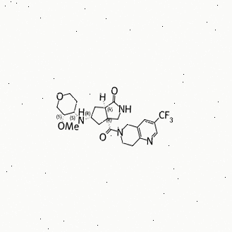 CO[C@@H]1COCC[C@@H]1N[C@@H]1C[C@H]2C(=O)NC[C@@]2(C(=O)N2CCc3ncc(C(F)(F)F)cc3C2)C1